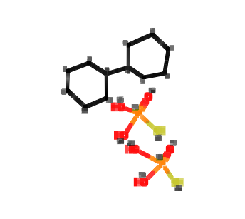 C1CCC(C2CCCCC2)CC1.O=P(O)(O)S.O=P(O)(O)S